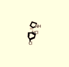 Cl.Clc1ccc([C@@H]2CCCN2)cc1